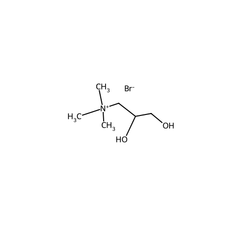 C[N+](C)(C)CC(O)CO.[Br-]